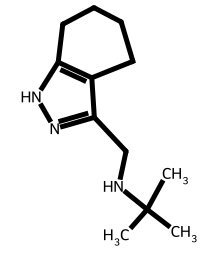 CC(C)(C)NCc1n[nH]c2c1CCCC2